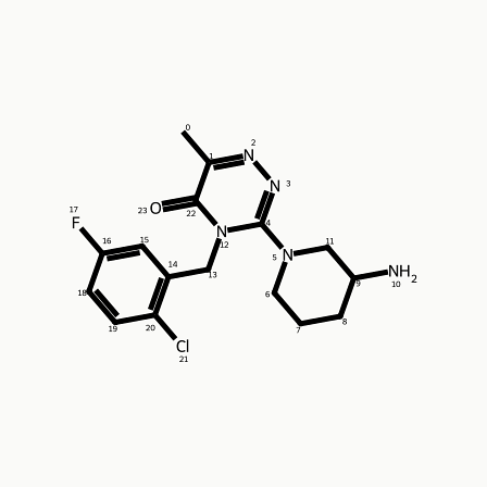 Cc1nnc(N2CCCC(N)C2)n(Cc2cc(F)ccc2Cl)c1=O